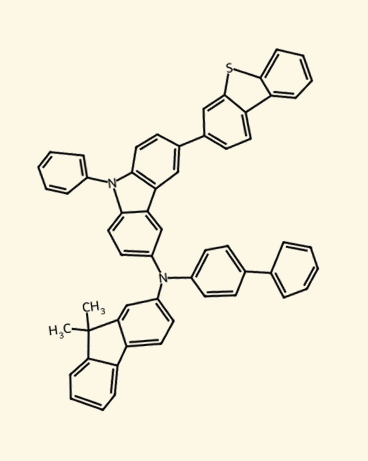 CC1(C)c2ccccc2-c2ccc(N(c3ccc(-c4ccccc4)cc3)c3ccc4c(c3)c3cc(-c5ccc6c(c5)sc5ccccc56)ccc3n4-c3ccccc3)cc21